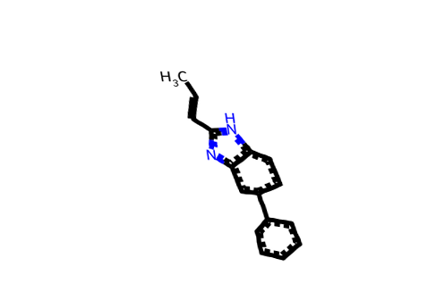 C/C=C/c1nc2cc(-c3ccccc3)ccc2[nH]1